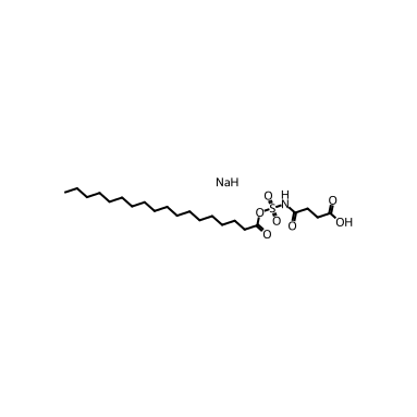 CCCCCCCCCCCCCCCCCC(=O)OS(=O)(=O)NC(=O)CCC(=O)O.[NaH]